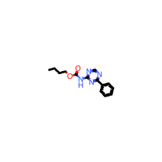 CCCCOC(=O)Nc1ncnc(-c2ccccc2)n1